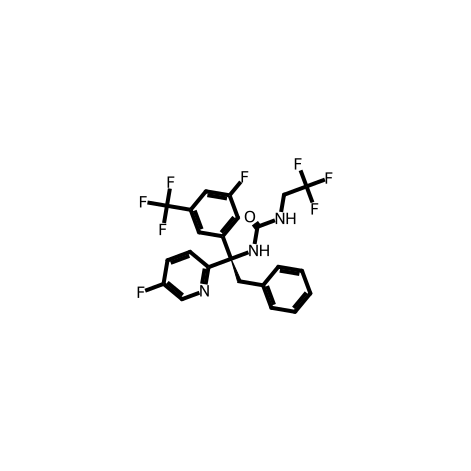 O=C(NCC(F)(F)F)N[C@@](Cc1ccccc1)(c1cc(F)cc(C(F)(F)F)c1)c1ccc(F)cn1